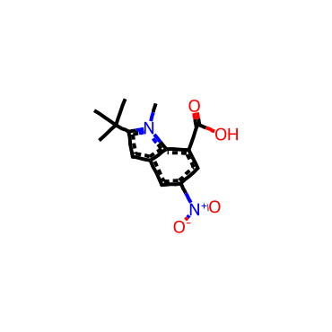 Cn1c(C(C)(C)C)cc2cc([N+](=O)[O-])cc(C(=O)O)c21